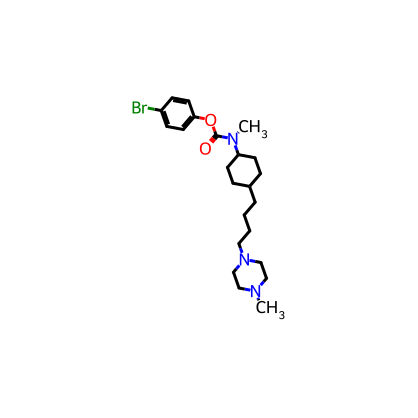 CN1CCN(CCCCC2CCC(N(C)C(=O)Oc3ccc(Br)cc3)CC2)CC1